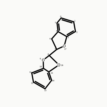 c1ccc2c(c1)CC([C]1Oc3ccccc3O1)O2